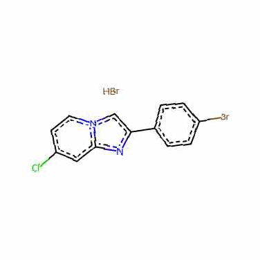 Br.Clc1ccn2cc(-c3ccc(Br)cc3)nc2c1